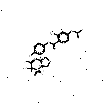 Cc1cc(OC(F)F)cnc1C(=O)Nc1ccc(F)c([C@]23COC[C@H]2S(=O)(=O)C(C)(C)C(N)=N3)c1